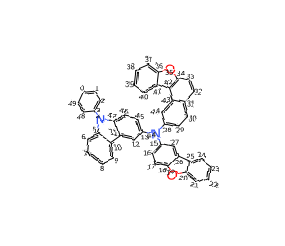 c1ccc(-n2c3ccccc3c3cc(N(c4ccc5oc6ccccc6c5c4)c4ccc5ccc6oc7ccccc7c6c5c4)ccc32)cc1